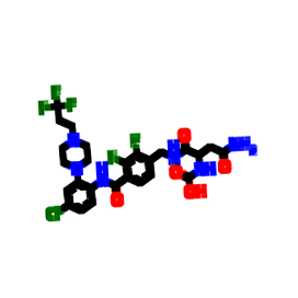 NC(=O)CC(NC(=O)O)C(=O)NCc1ccc(C(=O)Nc2ccc(Cl)cc2N2CCN(CCC(F)(F)F)CC2)c(F)c1F